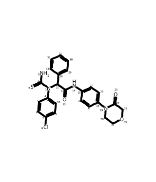 NC(=S)N(c1ccc(Cl)cc1)C(C(=O)Nc1ccc(N2CCOCC2=O)cc1)c1ccccc1